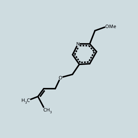 COCc1ccc(COCC=C(C)C)cn1